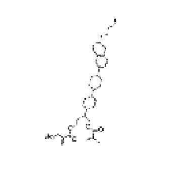 C=C(C)C(=O)OCC(CCOC(=O)C(=C)CO)C1CCC(C2CCC(c3ccc4c(c3)CCC(CCCCC)C4)CC2)CC1